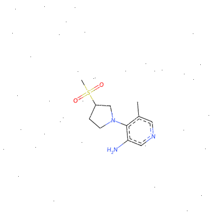 Cc1cncc(N)c1N1CCC(S(C)(=O)=O)C1